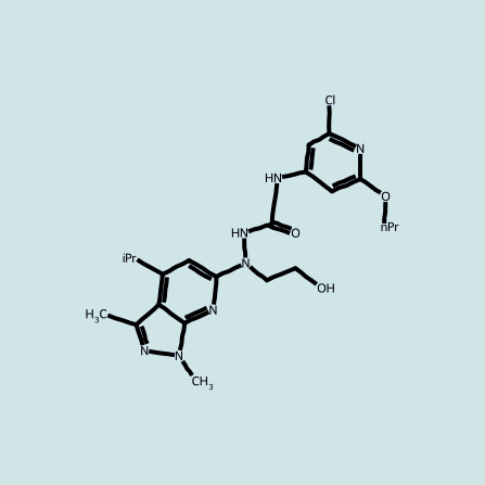 CCCOc1cc(NC(=O)NN(CCO)c2cc(C(C)C)c3c(C)nn(C)c3n2)cc(Cl)n1